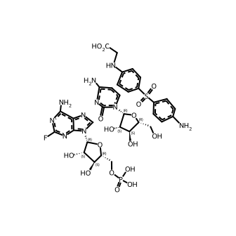 Nc1ccc(S(=O)(=O)c2ccc(NCC(=O)O)cc2)cc1.Nc1ccn([C@@H]2O[C@H](CO)[C@@H](O)[C@@H]2O)c(=O)n1.Nc1nc(F)nc2c1ncn2[C@@H]1O[C@H](COP(=O)(O)O)[C@@H](O)[C@@H]1O